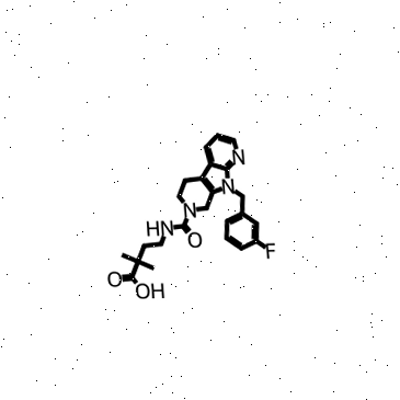 CC(C)(CCNC(=O)N1CCc2c(n(Cc3cccc(F)c3)c3ncccc23)C1)C(=O)O